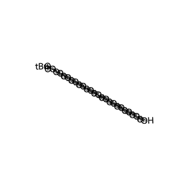 CC(C)(C)OC(=O)CCOCCOCCOCCOCCOCCOCCOCCOCCOCCOCCOCCOCCOCCOCCOCCOCCOCCOCCOCCOCCOCCOCCOCCOCCO